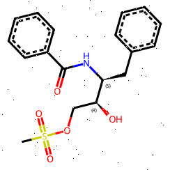 CS(=O)(=O)OC[C@H](O)[C@H](Cc1ccccc1)NC(=O)c1ccccc1